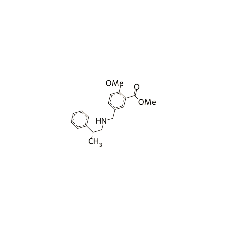 COC(=O)c1cc(CNC[C@H](C)c2ccccc2)ccc1OC